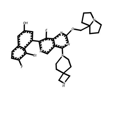 CCc1c(F)ccc2cc(O)cc(-c3ncc4c(N5CCC6(CC5)CNC6)nc(OCC56CCCN5CCC6)nc4c3F)c12